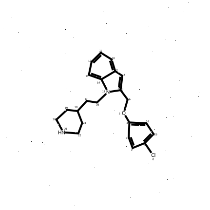 Clc1ccc(OCc2cc3ccccc3n2CCC2CCNCC2)cc1